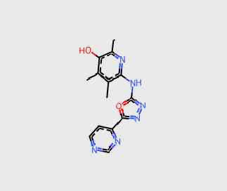 Cc1nc(Nc2nnc(-c3ccncn3)o2)c(C)c(C)c1O